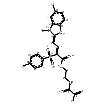 C=C(C)C(=O)OCCOC(=O)/C(=C/C=C1\Oc2ccc(C)cc2N1C)S(=O)(=O)c1ccc(C)cc1